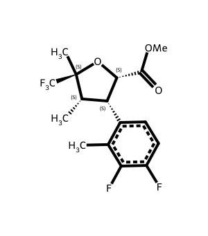 COC(=O)[C@H]1O[C@](C)(C(F)(F)F)[C@@H](C)[C@H]1c1ccc(F)c(F)c1C